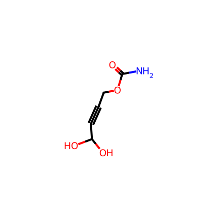 NC(=O)OCC#CC(O)O